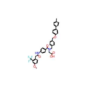 COc1ccc(CC(=O)Nc2ccc(C(=O)N(CC(=O)O)Cc3ccc(COc4ccc(-c5ccc(C)cc5)cc4)cc3)cc2)c(C(F)(F)F)c1